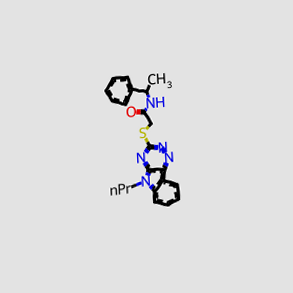 CCCn1c2ccccc2c2nnc(SCC(=O)NC(C)c3ccccc3)nc21